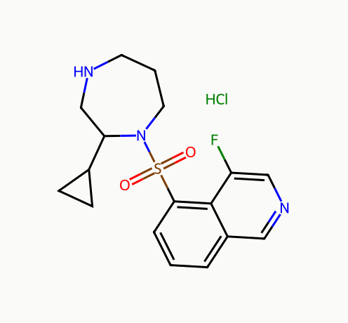 Cl.O=S(=O)(c1cccc2cncc(F)c12)N1CCCNCC1C1CC1